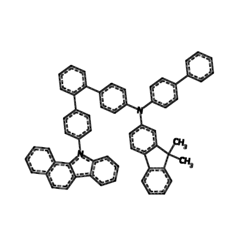 CC1(C)c2ccccc2-c2ccc(N(c3ccc(-c4ccccc4)cc3)c3ccc(-c4ccccc4-c4ccc(-n5c6ccccc6c6ccc7ccccc7c65)cc4)cc3)cc21